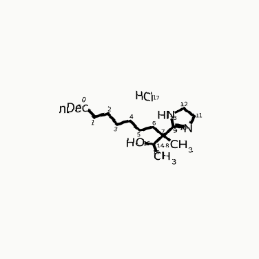 CCCCCCCCCCCCCCCCC(C)(C1=NCCN1)C(C)O.Cl